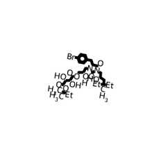 CCC(C)(CC)CC(O)CN1C(=O)C(Cc2ccc(Br)cc2)N(CC(O)COC(=O)C(O)C(O)C(=O)OC(C)(C)CC)C1=O